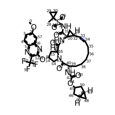 COc1ccc2nc(C(F)(F)F)c(O[C@@H]3C[C@H]4C(=O)N[C@]5(C(=O)NS(=O)(=O)C6(C)CC6)C[C@H]5/C=C\CCCCC[C@H](NC(=O)OC5C[C@@H]6C[C@@H]6C5)C(=O)N4C3)nc2c1